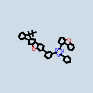 CC(C)(C)C1(C)c2ccccc2-c2cc3oc4cc(-c5cccc(-c6nc(-c7ccccc7)nc(-c7cccc8oc9ccccc9c78)n6)c5)ccc4c3cc21